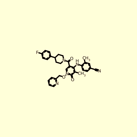 Cc1cc(C#N)ccc1Nc1c(C(=O)N2CCC(c3ccc(F)cc3)CC2)cn(OCc2ccccn2)c(=O)c1C